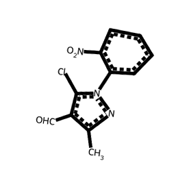 Cc1nn(-c2ccccc2[N+](=O)[O-])c(Cl)c1C=O